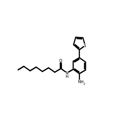 CCCCCCCC(=O)Nc1cc(-c2cccs2)ccc1N